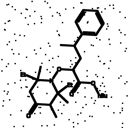 CCCCOC(=O)C(CC(C)c1ccccc1)ON1C(C)(CC)CC(=O)C(C)C1(C)CC